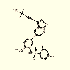 COc1ncc(-c2ccn3ncc(C#CC(C)(C)O)c3c2)cc1NS(=O)(=O)c1ccc(F)cc1F